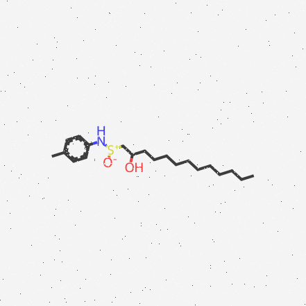 CCCCCCCCCCCC(O)C[S+]([O-])Nc1ccc(C)cc1